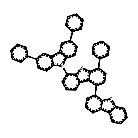 c1ccc(-c2ccc3c(c2)c2cc(-c4ccccc4)ccc2n3-c2cccc3c2sc2c(-c4ccccc4)ccc(-c4cccc5c4oc4ccccc45)c23)cc1